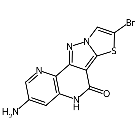 Nc1cnc2c(c1)[nH]c(=O)c1c2nn2cc(Br)sc12